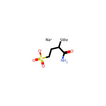 CSC(CCS(=O)(=O)[O-])C(N)=O.[Na+]